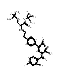 CC(C)(C)OC[C@H](NCCc1ccc(-c2cc(C(=O)c3ccc(F)cc3F)c(N)[nH]c2=O)cc1)C(=O)OC(C)(C)C